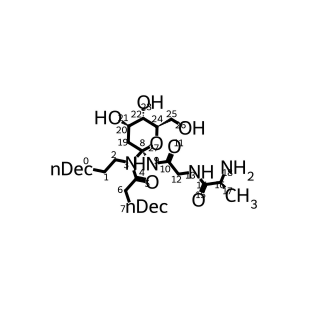 CCCCCCCCCCCCN(C(=O)CCCCCCCCCCC)[C@@]1(NC(=O)CNC(=O)[C@H](C)N)C[C@@H](O)[C@H](O)[C@@H](CO)O1